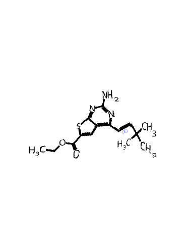 CCOC(=O)c1cc2c(/C=C/C(C)(C)C)nc(N)nc2s1